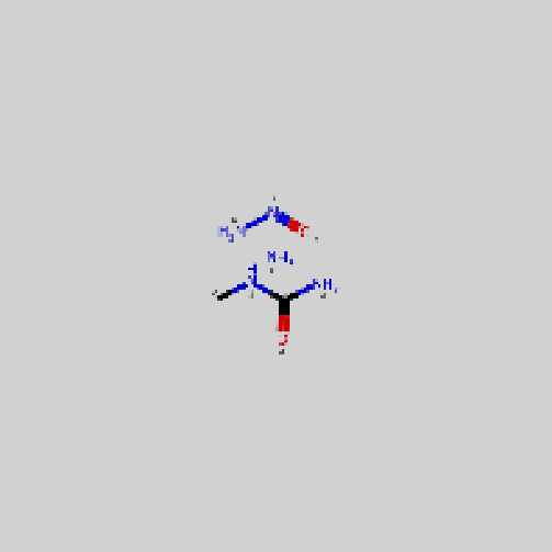 CNC(N)=O.N.NN=O